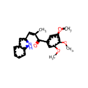 COc1cc(C(=O)C(C)=Cc2cc3ccccc3[nH]2)cc(OC)c1OC